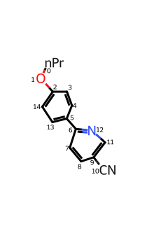 CCCOc1ccc(-c2ccc(C#N)cn2)cc1